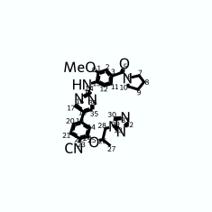 COc1cc(C(=O)N2CCCC2)ccc1Nc1ncc(-c2ccc(C#N)c(OC(C)Cn3cncn3)c2)cn1